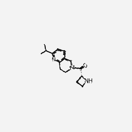 CC(C)c1ccc2c(n1)CCN(C(=O)[C@H]1CCN1)C2